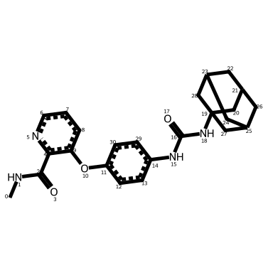 CNC(=O)c1ncccc1Oc1ccc(NC(=O)NC23CC4CC(CC(C4)C2)C3)cc1